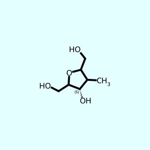 CC1C(CO)OC(CO)[C@H]1O